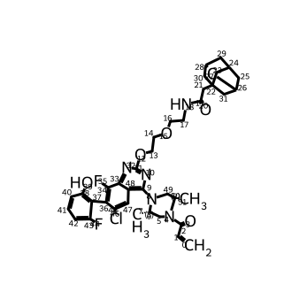 C=CC(=O)N1C[C@H](C)N(c2nc(OCCOCCNC(=O)CC34CC5CC(CC(C5)C3)C4)nc3c(F)c(-c4c(O)cccc4F)c(Cl)cc23)C[C@H]1C